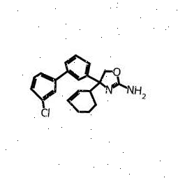 NC1=NC(c2cccc(-c3cccc(Cl)c3)c2)(C2C=CCCC2)CO1